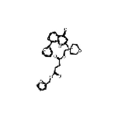 O=C(CCC(=O)OC[N+]1(c2cc(=O)c3cccc(-c4ccccc4)c3o2)CCOCC1)OCc1ccco1